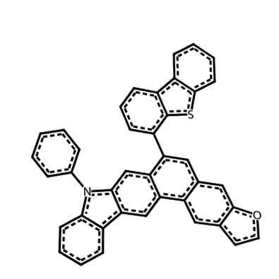 c1ccc(-n2c3ccccc3c3cc4c(cc32)c(-c2cccc3c2sc2ccccc23)cc2cc3occc3cc24)cc1